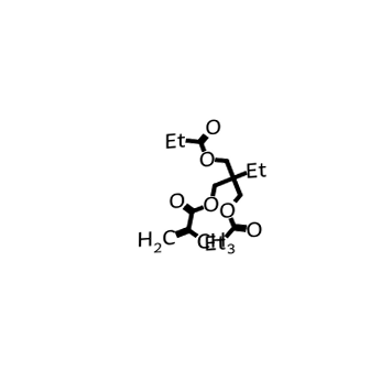 C=C(C)C(=O)OCC(CC)(COC(=O)CC)COC(=O)CC